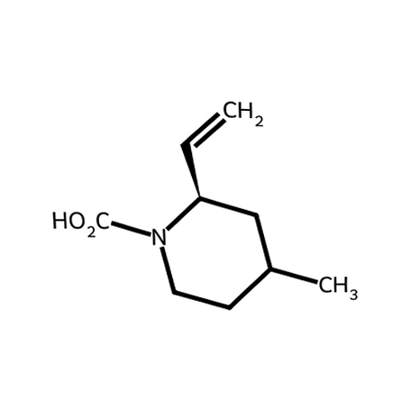 C=C[C@H]1CC(C)CCN1C(=O)O